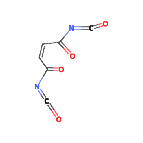 O=C=NC(=O)/C=C\C(=O)N=C=O